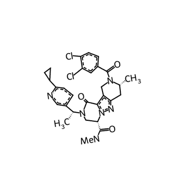 CNC(=O)[C@@H]1CN([C@H](C)c2ccc(C3CC3)nc2)C(=O)c2c3c(nn21)C[C@@H](C)N(C(=O)c1ccc(Cl)c(Cl)c1)C3